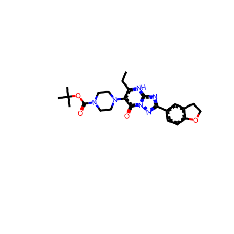 CCc1[nH]c2nc(-c3ccc4c(c3)CCO4)nn2c(=O)c1N1CCN(C(=O)OC(C)(C)C)CC1